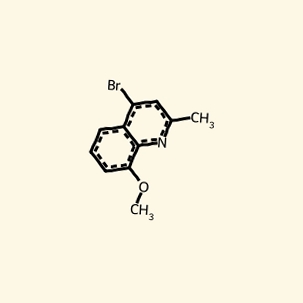 COc1cccc2c(Br)cc(C)nc12